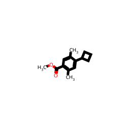 COC(=O)c1cc(C)c(C2CCC2)cc1C